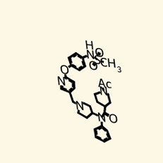 CC(=O)N1CCC(C(=O)N(c2ccccc2)C2CCN(Cc3ccc(Oc4ccc(NS(C)(=O)=O)cc4)nc3)CC2)CC1